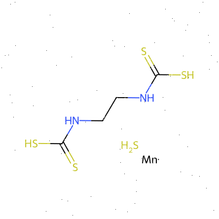 S.S=C(S)NCCNC(=S)S.[Mn]